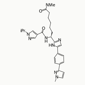 CNC(=O)CCCCC[C@H](NC(=O)c1cnn(C(C)C)c1)c1ncc(-c2ccc(-c3ccn(C)n3)cc2)[nH]1